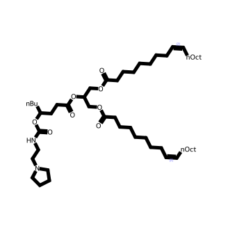 CCCCCCCC/C=C\CCCCCCCC(=O)OCC(COC(=O)CCCCCCC/C=C\CCCCCCCC)OC(=O)CCC(CCCC)OC(=O)NCCN1CCCC1